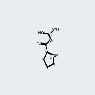 O=C(OB(O)O)[C@@H]1CCCN1